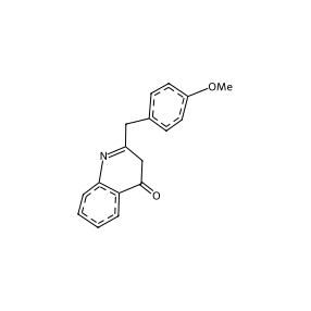 COc1ccc(CC2=Nc3ccccc3C(=O)C2)cc1